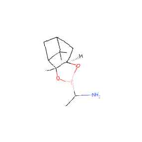 CC(N)B1O[C@@H]2CC3CC(C3(C)C)C2(C)O1